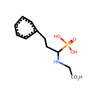 O=C(O)CNC(CCc1ccccc1)P(=O)(O)O